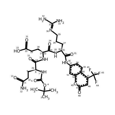 CC(C)(C)OC(=O)N[C@@H](CCC(N)=O)C(=O)N[C@@H](CCC(=O)O)C(=O)N[C@@H](CCCN=C(N)N)C(=O)Nc1ccc2c(C(F)(F)F)cc(=O)oc2c1